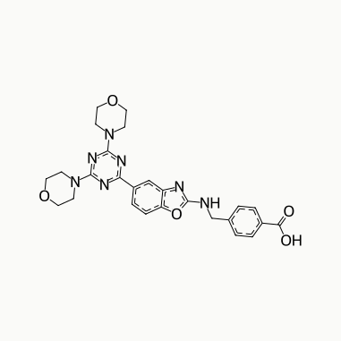 O=C(O)c1ccc(CNc2nc3cc(-c4nc(N5CCOCC5)nc(N5CCOCC5)n4)ccc3o2)cc1